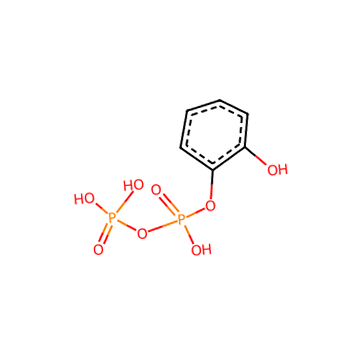 O=P(O)(O)OP(=O)(O)Oc1ccccc1O